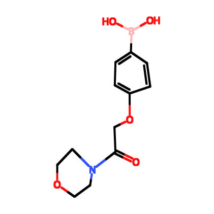 O=C(COc1ccc(B(O)O)cc1)N1CCOCC1